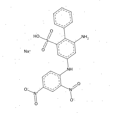 Nc1cc(Nc2ccc([N+](=O)[O-])cc2[N+](=O)[O-])cc(S(=O)(=O)O)c1-c1ccccc1.[Na+]